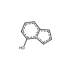 Oc1cccc2cccn12